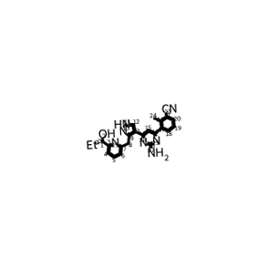 CC[C@H](O)c1cccc(Cc2n[nH]cc2-c2cc(-c3cccc(C#N)c3C)nc(N)n2)n1